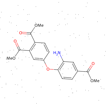 COC(=O)c1ccc(Oc2ccc(C(=O)OC)c(C(=O)OC)c2)c(N)c1